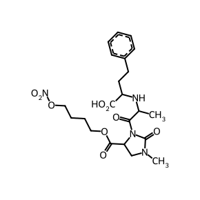 CC(NC(CCc1ccccc1)C(=O)O)C(=O)N1C(=O)N(C)CC1C(=O)OCCCCO[N+](=O)[O-]